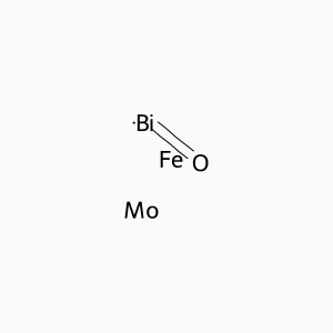 [Fe].[Mo].[O]=[Bi]